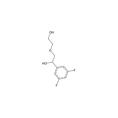 OCCOCC(O)c1cc(F)cc(F)c1